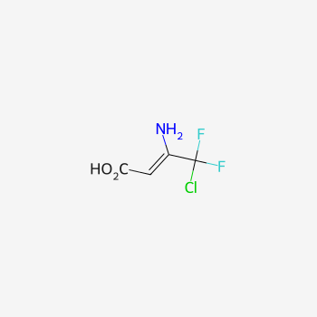 N/C(=C\C(=O)O)C(F)(F)Cl